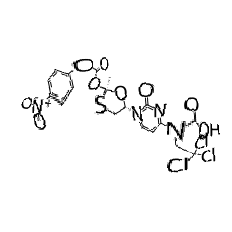 C[C@]1(OC(=O)Oc2ccc([N+](=O)[O-])cc2)O[C@H](n2ccc(N(CC(Cl)(Cl)Cl)C(=O)O)nc2=O)CS1